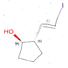 O[C@@H]1CCC[C@H]1/C=C/I